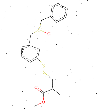 COC(=O)C(C)CSSc1cccc(C[S+]([O-])Cc2ccccc2)c1